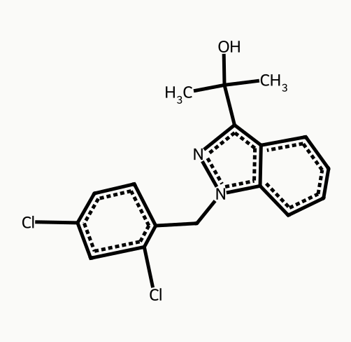 CC(C)(O)c1nn(Cc2ccc(Cl)cc2Cl)c2ccccc12